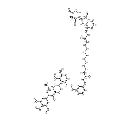 COc1cc(CC(=O)N2CCC(c3c(CCCc4cccc(OCC(=O)NCCCCCCCCNC(=O)COc5cccc6c5CN(C5CCC(=O)NC5=O)C6=O)c4)ccc(OC)c3OC)C[C@H]2C(=O)O)cc(OC)c1OC